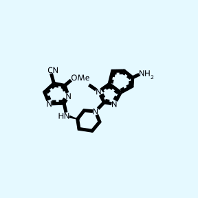 COc1nc(N[C@@H]2CCCN(c3nc4cc(N)ccc4n3C)C2)ncc1C#N